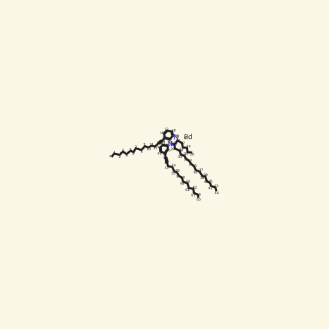 CCCCCCCCCCCCCC#Cc1cccc(N=C(CCCCC)C(CCCCCCCCCCCCCCCCC)=Nc2cccc(C#CCCCCCCCCCCCCC)c2)c1.[Pd]